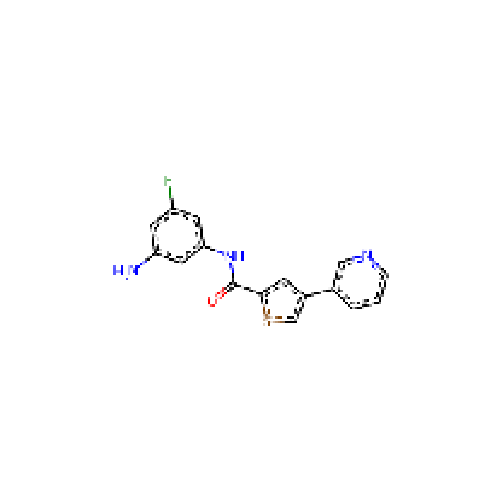 Nc1cc(F)cc(NC(=O)c2cc(-c3cccnc3)cs2)c1